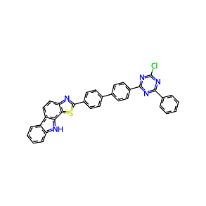 Clc1nc(-c2ccccc2)nc(-c2ccc(-c3ccc(-c4nc5ccc6c7ccccc7[nH]c6c5s4)cc3)cc2)n1